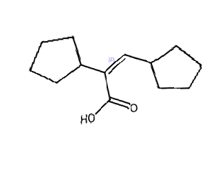 O=C(O)/C(=C\C1CCCC1)C1CCCC1